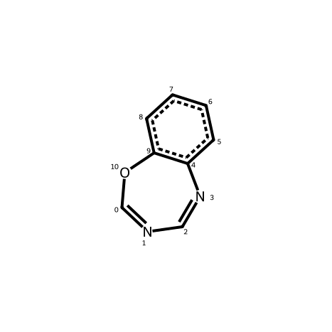 C1=NC=Nc2ccccc2O1